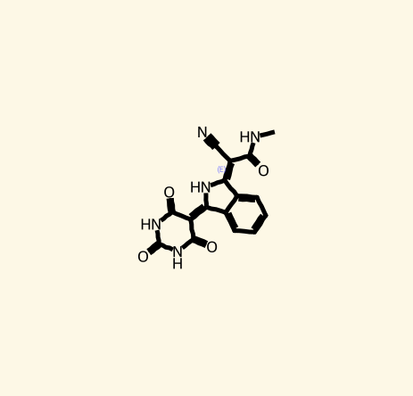 CNC(=O)/C(C#N)=c1/[nH]c(=C2C(=O)NC(=O)NC2=O)c2ccccc12